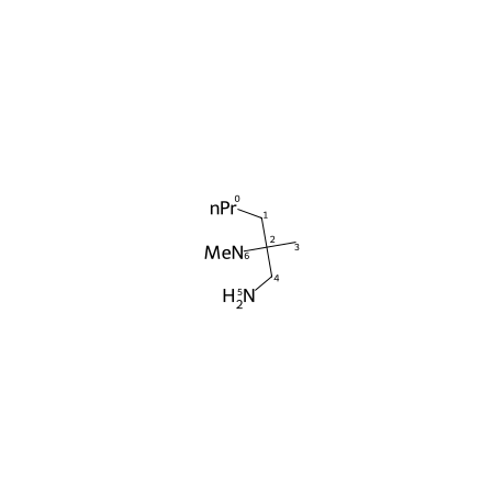 CCCCC(C)(CN)NC